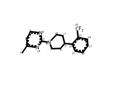 Cc1ccnc(N2CCC(c3ccccc3C(F)(F)F)CC2)n1